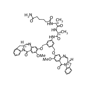 COc1cc2c(cc1OCc1cc(COc3cc4c(cc3OC)C(=O)N3c5ccccc5C[C@H]3C=N4)cc(NC(=O)[C@H](C)NC(=O)[C@@H](C)NC(=O)CCCCC(N)=O)c1)N=C[C@@H]1Cc3ccccc3N1C2=O